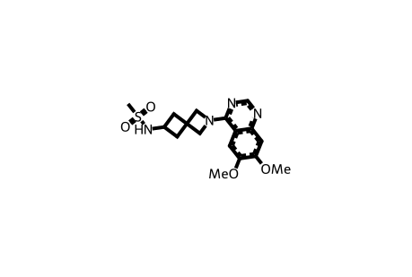 COc1cc2ncnc(N3CC4(CC(NS(C)(=O)=O)C4)C3)c2cc1OC